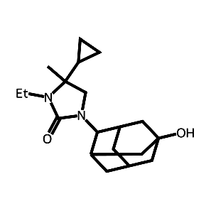 CCN1C(=O)N(C2C3CC4CC2CC(O)(C4)C3)CC1(C)C1CC1